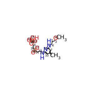 COCCCNc1cc(C)cc(NCCS(=O)(=O)CCOS(=O)(=O)O)n1